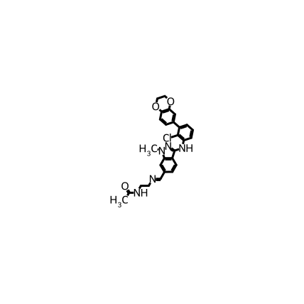 CC(=O)NCCN=Cc1ccc2c(Nc3cccc(-c4ccc5c(c4)OCCO5)c3Cl)nn(C)c2c1